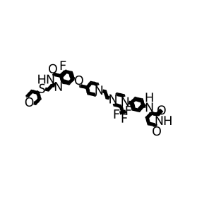 O=C1CCC(Nc2ccc(N3CCN(CCN4CCC(COc5cc(F)c6c(=O)[nH]c(CSC7CCOCC7)nc6c5)CC4)CC3C(F)(F)F)cc2)C(=O)N1